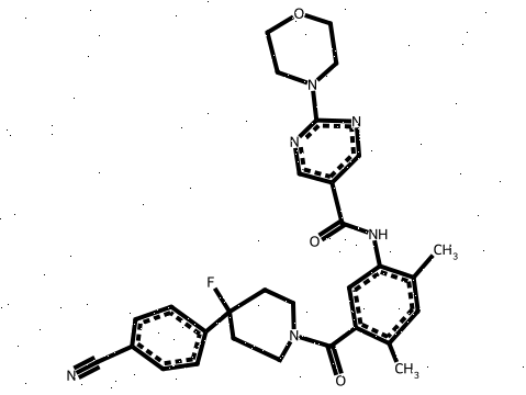 Cc1cc(C)c(C(=O)N2CCC(F)(c3ccc(C#N)cc3)CC2)cc1NC(=O)c1cnc(N2CCOCC2)nc1